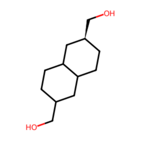 OCC1CCC2C[C@@H](CO)CCC2C1